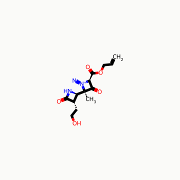 C=CCOC(=O)[C@H]1C(=O)[C@@](C)([C@@H]2NC(=O)[C@H]2CCO)[N+]1=[N-]